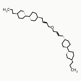 CCC[C@H]1CC[C@H]([C@H]2CC[C@H](CC=CCOCC=CC[C@H]3CC[C@H]([C@H]4CC[C@H](CCC)CC4)CC3)CC2)CC1